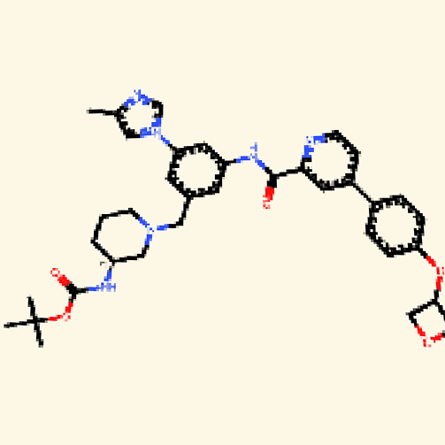 Cc1cn(-c2cc(CN3CCC[C@H](NC(=O)OC(C)(C)C)C3)cc(NC(=O)c3cc(-c4ccc(OC5COC5)cc4)ccn3)c2)cn1